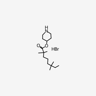 Br.CCC(C)(C)CCCC(C)(C)C(=O)OC1CCNCC1